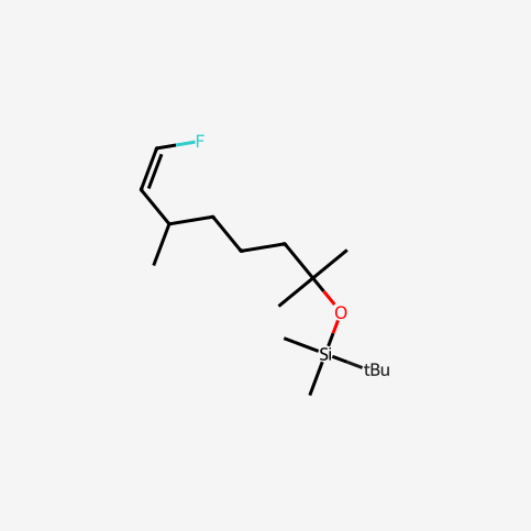 CC(/C=C\F)CCCC(C)(C)O[Si](C)(C)C(C)(C)C